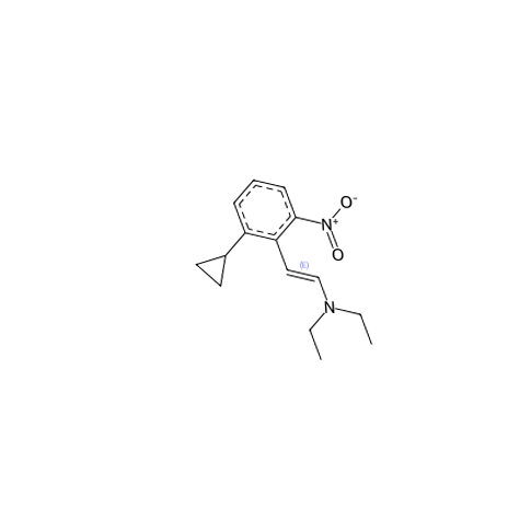 CCN(/C=C/c1c(C2CC2)cccc1[N+](=O)[O-])CC